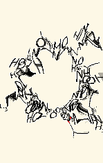 CC[C@H](C)C1NC(=O)[C@@H](CCCNC(=N)N)NC(=O)[C@H](CC(C)C)NC(=O)[C@H]([C@H](O)C(C)C)NC(=O)[C@@H](NC(=O)[C@H](CC(C)C)NC(=O)[C@@H](N)[C@@H](C)CC)[C@@H](c2ccccc2)OC(=O)[C@H](CO)NC(=O)[C@H]([C@H](O)C(N)=O)NC(=O)CNC(=O)C([C@H](C)O)NC1=O